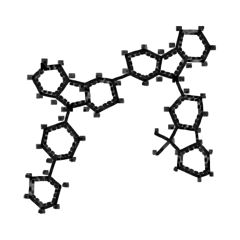 CC1(C)c2ccccc2-c2ccc(-n3c4ccccc4c4ccc(-c5ccc6c(c5)c5cnccc5n6-c5ccc(-c6ccccc6)cc5)cc43)cc21